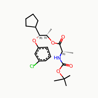 C[C@H](NC(=O)OC(C)(C)C)C(=O)O[C@@H](C)[C@H](Oc1cccc(Cl)c1)C1CCCC1